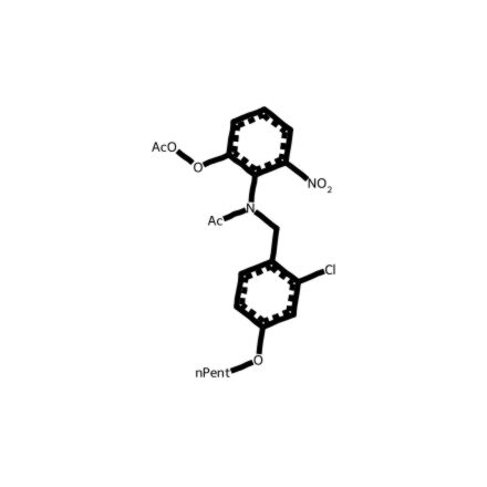 CCCCCOc1ccc(CN(C(C)=O)c2c(OOC(C)=O)cccc2[N+](=O)[O-])c(Cl)c1